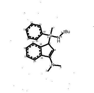 CN(C)C1=CC([Si](C)(NC(C)(C)C)c2ccccc2)c2ccccc21